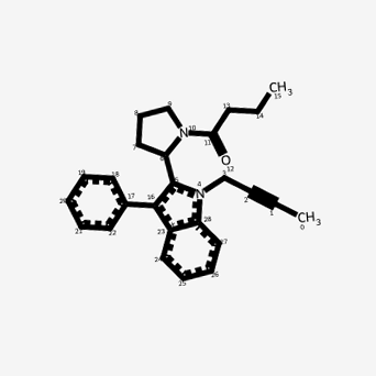 CC#CCn1c(C2CCCN2C(=O)CCC)c(-c2ccccc2)c2ccccc21